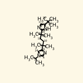 CC(C)n1cnc(C(C)(C)CCC(C)(C)c2ncc(C(C)(C)C)[nH]2)c1